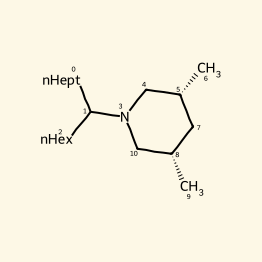 CCCCCCCC(CCCCCC)N1C[C@H](C)C[C@H](C)C1